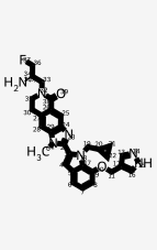 Cn1c(-c2cc3cccc(OCc4cn[nH]c4)c3n2CC2CC2)nc2cc3c(cc21)CCN(C[C@H](N)CF)C3=O